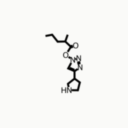 CCCC(C)C(=O)On1cc(C2CCNC2)nn1